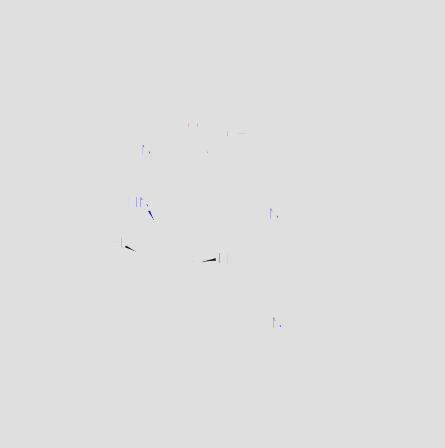 CC1(C2CCN(C(=O)c3ccncc3)CC2)OCN=C(N[C@H]2C[C@@H]3CC[C@H]2C3)S1